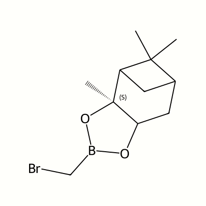 CC1(C)C2CC3OB(CBr)O[C@@]3(C)C1C2